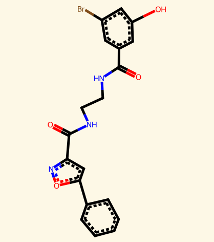 O=C(NCCNC(=O)c1cc(-c2ccccc2)on1)c1cc(O)cc(Br)c1